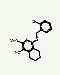 COc1nc(SCc2ccccc2Cl)c2c(c1C#N)CCCC2